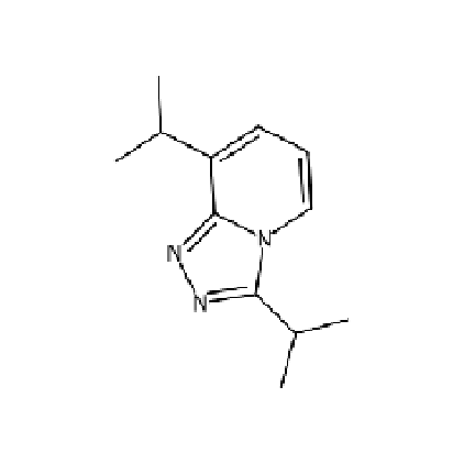 CC(C)c1cccn2c(C(C)C)nnc12